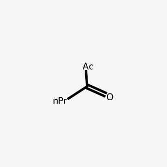 [C]C(=O)C(=O)CCC